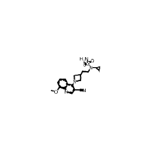 COc1cccc2c(N3CC(CCN(C4CC4)S(N)(=O)=O)C3)c(C#N)cnc12